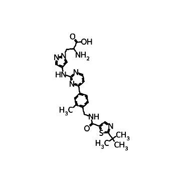 Cc1cc(-c2ccnc(Nc3cnn(CC(N)C(=O)O)c3)n2)ccc1CNC(=O)c1cnc(C(C)(C)C)s1